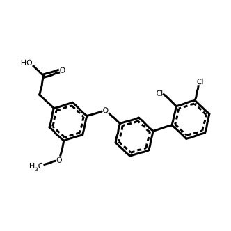 COc1cc(CC(=O)O)cc(Oc2cccc(-c3cccc(Cl)c3Cl)c2)c1